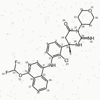 C[C@@]1(c2cccc(Nc3cnc(OC(F)F)c4ccccc34)c2Cl)CC(=O)N(C2CCOCC2)C(=N)N1